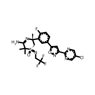 CC1(C)C(N)=N[C@](C)(c2cc(-c3cc(-c4ncc(Cl)cn4)no3)ccc2F)C[S@@]1(=O)=NCC(F)(F)F